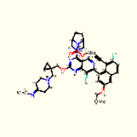 C#Cc1c(F)ccc2cc(OCOC)cc(-c3ncc4c(N5CC6CCC(C5)N6C(=O)OC(C)(C)C)nc(OCC5(CN6CCC(=NOC)CC6)CC5)nc4c3F)c12